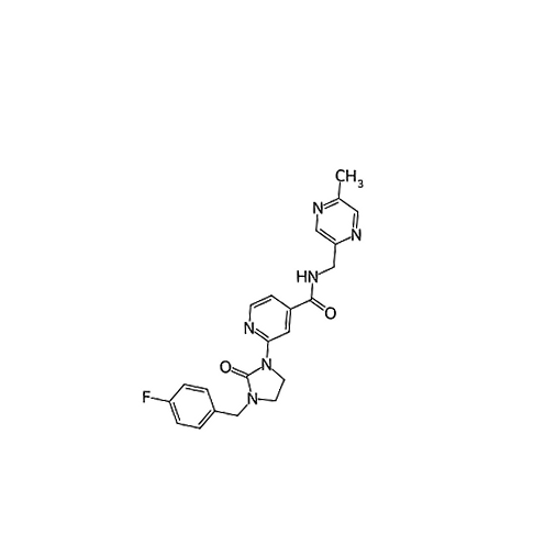 Cc1cnc(CNC(=O)c2ccnc(N3CCN(Cc4ccc(F)cc4)C3=O)c2)cn1